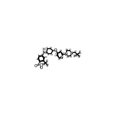 O=[N+]([O-])c1ccc(N[C@H]2CC[C@H](Oc3ccnc(N4CCN(CC(F)(F)F)CC4)c3)CC2)cc1C(F)(F)F